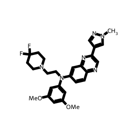 COc1cc(OC)cc(N(CCN2CCC(F)(F)CC2)c2ccc3ncc(-c4cnn(C)c4)nc3c2)c1